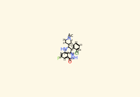 CC(=O)N1CCC([C@@H]2Nc3cc(F)cc4c(=O)[nH]nc(c34)[C@H]2c2ccccc2Cl)CC1